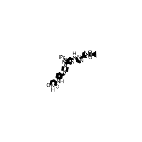 CC(C)n1nc(N2CCN(Cc3cccc(NC4CCC(=O)NC4=O)c3)CC2)c2cnc(Nc3ccnc(-c4cnn(S(=O)(=O)C5CC5)c4)n3)cc21